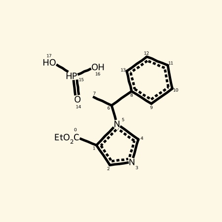 CCOC(=O)c1cncn1C(C)c1ccccc1.O=[PH](O)O